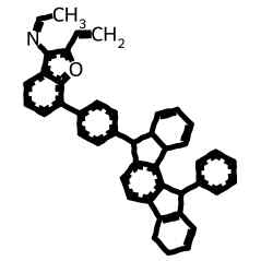 C=Cc1oc2c(-c3ccc(C4c5ccc6c(c5C5C=CC=CC54)C(c4ccccc4)C4=C6CCC=C4)cc3)cccc2c1/N=C\C